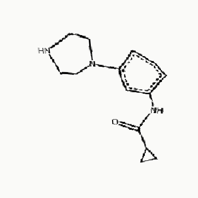 O=C(Nc1cccc(N2CCNCC2)c1)C1CC1